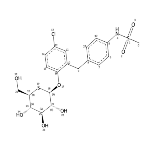 CS(=O)(=O)Nc1ccc(Cc2cc(Cl)ccc2O[C@@H]2S[C@H](CO)[C@@H](O)[C@H](O)[C@H]2O)cc1